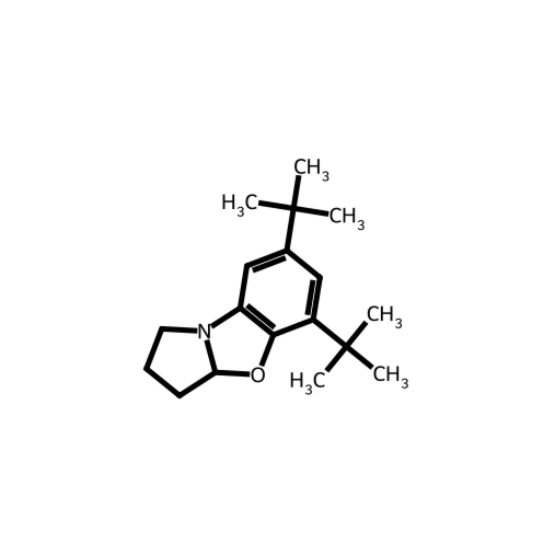 CC(C)(C)c1cc2c(c(C(C)(C)C)c1)OC1CCCN21